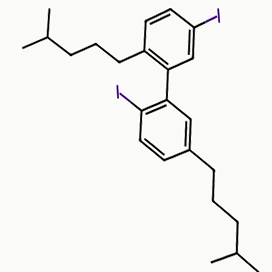 CC(C)CCCc1ccc(I)c(-c2cc(I)ccc2CCCC(C)C)c1